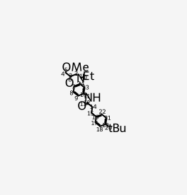 CCN1CC(COC)Oc2ccc(NC(=O)CCc3ccc(C(C)(C)C)cc3)cc21